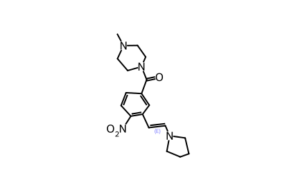 CN1CCN(C(=O)c2ccc([N+](=O)[O-])c(/C=C/N3CCCC3)c2)CC1